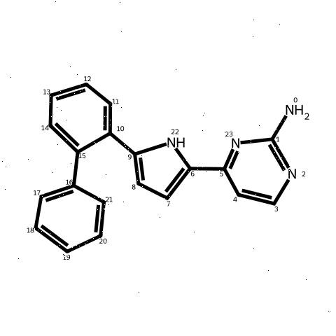 Nc1nccc(-c2ccc(-c3ccccc3-c3ccccc3)[nH]2)n1